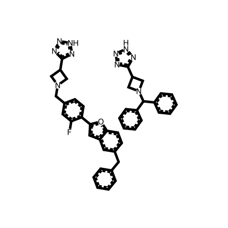 Fc1cc(CN2CC(c3nn[nH]n3)C2)ccc1-c1cc2cc(Cc3ccccc3)ccc2o1.c1ccc(C(c2ccccc2)N2CC(c3nn[nH]n3)C2)cc1